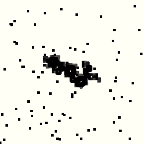 CCON=C(C)c1cccc(Oc2cccc(C(=O)Nc3ccc(F)cc3F)n2)c1